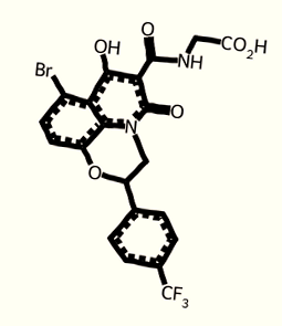 O=C(O)CNC(=O)c1c(O)c2c(Br)ccc3c2n(c1=O)CC(c1ccc(C(F)(F)F)cc1)O3